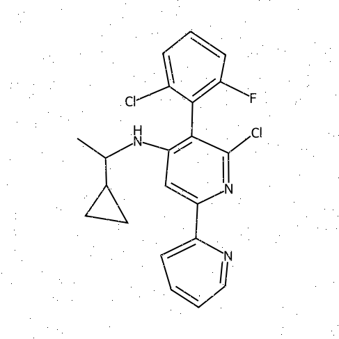 CC(Nc1cc(-c2ccccn2)nc(Cl)c1-c1c(F)cccc1Cl)C1CC1